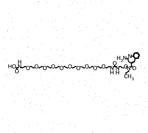 CCCN(OCCNC(=O)NCCOCCOCCOCCOCCOCCOCCOCCOCCOCCOCCNC(=O)O)C(=O)C1=Cc2ccccc2N=C(N)C1